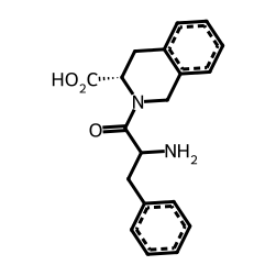 NC(Cc1ccccc1)C(=O)N1Cc2ccccc2C[C@H]1C(=O)O